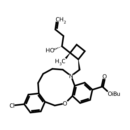 C=CC[C@@H](O)[C@]1(C)CC[C@H]1CN1CCCCc2cc(Cl)ccc2COc2ccc(C(=O)OCC(C)C)cc21